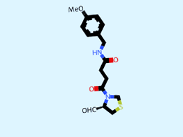 COc1ccc(CNC(=O)CCC(=O)N2CSC[C@H]2C=O)cc1